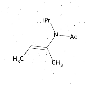 C/C=C(\C)N(C(C)=O)C(C)C